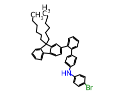 CCCCCCC1(CCCCCC)c2ccccc2-c2ccc(-c3ccccc3-c3ccc(Nc4ccc(Br)cc4)cc3)cc21